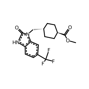 COC(=O)[C@H]1CC[C@H](Cn2c(=O)[nH]c3ccc(C(F)(F)F)cc32)CC1